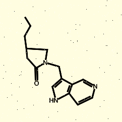 CCCC1CC(=O)N(Cc2c[nH]c3ccncc23)C1